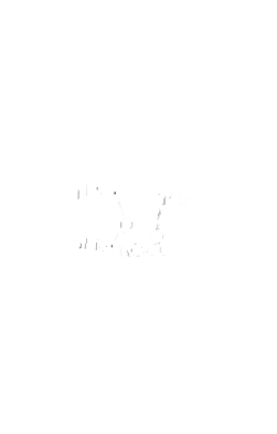 CCCCCCCCOCCCCCCCC.CCCCCCOCCCCCC